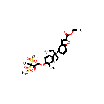 CCOC(=O)c1cc2cc(C(CC)(CC)c3ccc(OCC(=O)C(C)(S(C)(=O)=O)S(C)(=O)=O)c(C)c3)ccc2o1